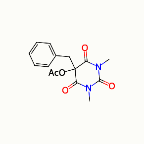 CC(=O)OC1(Cc2ccccc2)C(=O)N(C)C(=O)N(C)C1=O